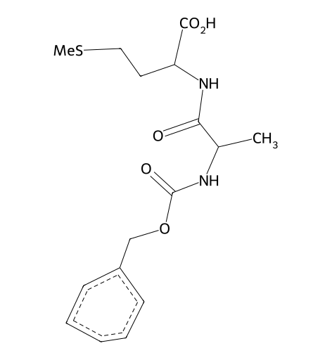 CSCCC(NC(=O)C(C)NC(=O)OCc1ccccc1)C(=O)O